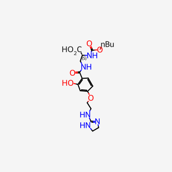 CCCCOC(=O)N[C@@H](CNC(=O)c1ccc(OCCNC2=NCCN2)cc1O)C(=O)O